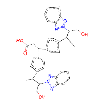 CC(c1ccc(C(CC(=O)O)c2ccc(C(C)C(CO)n3nc4ccccc4n3)cc2)cc1)C(CO)n1nc2ccccc2n1